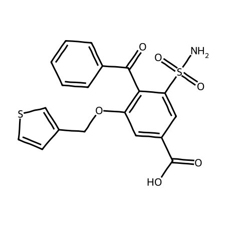 NS(=O)(=O)c1cc(C(=O)O)cc(OCc2ccsc2)c1C(=O)c1ccccc1